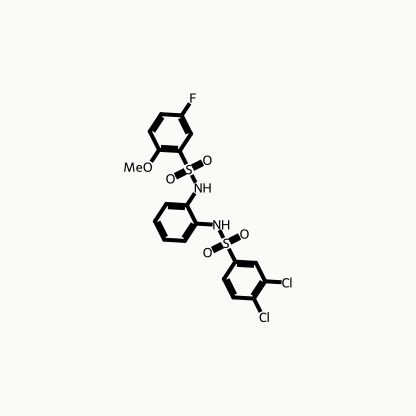 COc1ccc(F)cc1S(=O)(=O)Nc1ccccc1NS(=O)(=O)c1ccc(Cl)c(Cl)c1